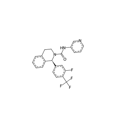 O=C(Nc1cccnc1)N1CCc2ccccc2[C@@H]1c1ccc(C(F)(F)F)c(F)c1